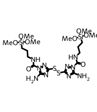 CO[Si](CCCNC(=O)n1nc(SSc2nc(N)n(C(=O)NCCC[Si](OC)(OC)OC)n2)nc1N)(OC)OC